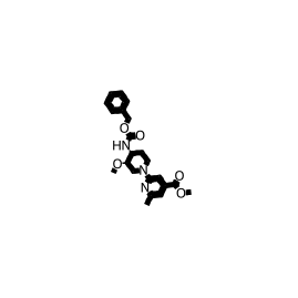 COC(=O)c1cc(C)nc(N2CC[C@@H](NC(=O)OCc3ccccc3)[C@@H](OC)C2)c1